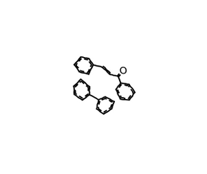 O=C(C=Cc1ccccc1)c1ccccc1.c1ccc(-c2ccccc2)cc1